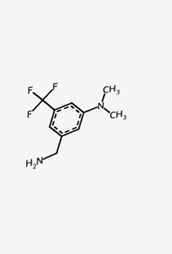 CN(C)c1cc(CN)cc(C(F)(F)F)c1